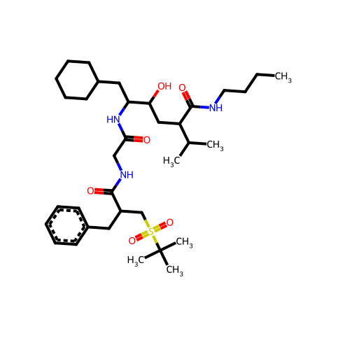 CCCCNC(=O)C(CC(O)C(CC1CCCCC1)NC(=O)CNC(=O)C(Cc1ccccc1)CS(=O)(=O)C(C)(C)C)C(C)C